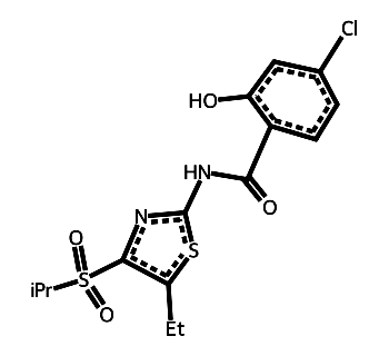 CCc1sc(NC(=O)c2ccc(Cl)cc2O)nc1S(=O)(=O)C(C)C